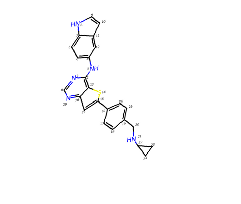 c1nc(Nc2ccc3[nH]ccc3c2)c2sc(-c3ccc(CNC4CC4)cc3)cc2n1